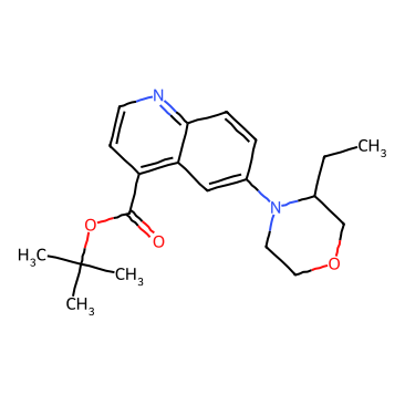 CCC1COCCN1c1ccc2nccc(C(=O)OC(C)(C)C)c2c1